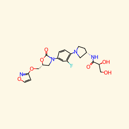 O=C(N[C@H]1CCN(c2ccc(N3C[C@H](COc4ccon4)OC3=O)cc2F)C1)[C@@H](O)CO